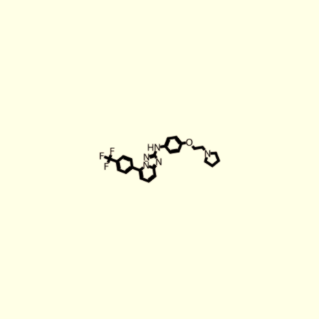 FC(F)(F)c1ccc(-c2cccc3nc(Nc4ccc(OCCN5CCCC5)cc4)nn23)cc1